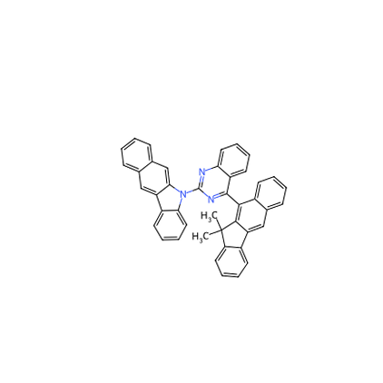 CC1(C)c2ccccc2-c2cc3ccccc3c(-c3nc(-n4c5ccccc5c5cc6ccccc6cc54)nc4ccccc34)c21